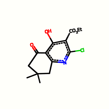 CCOC(=O)c1c(Cl)nc2c(c1O)C(=O)CC(C)(C)C2